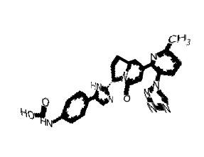 Cc1ccc(-n2cnnn2)c(-c2cc3n(c(=O)c2)[C@H](c2ncc(-c4ccc(NC(=O)O)cc4)[nH]2)CC3)n1